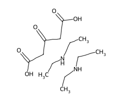 CCNCC.CCNCC.O=C(O)CC(=O)CC(=O)O